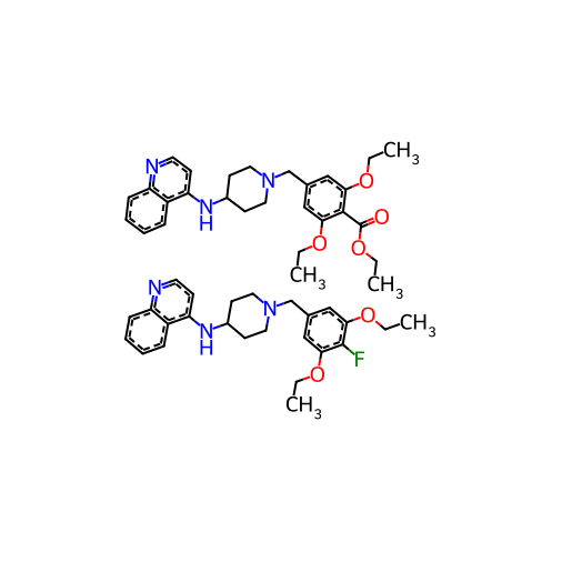 CCOC(=O)c1c(OCC)cc(CN2CCC(Nc3ccnc4ccccc34)CC2)cc1OCC.CCOc1cc(CN2CCC(Nc3ccnc4ccccc34)CC2)cc(OCC)c1F